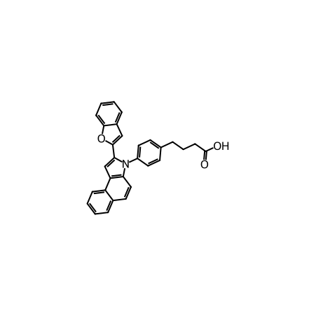 O=C(O)CCCc1ccc(-n2c(-c3cc4ccccc4o3)cc3c4ccccc4ccc32)cc1